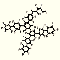 C\C(=C(F)/C(F)=C(F)\C(F)=C\F)c1c(F)c(F)c(-c2c(F)c(-c3c(F)c(F)c(-c4c(F)c(F)c(F)c(F)c4F)c(F)c3F)c(F)c(-c3c(F)c(-c4c(F)c(C)c(-c5c(F)c(F)c(F)c(F)c5F)c(F)c4F)c(F)c(-c4c(F)c(F)c(-c5c(F)c(F)c(F)c(F)c5F)c(F)c4F)c3F)c2F)c(F)c1F